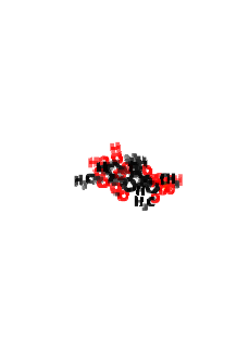 [2H]C1([2H])OC(=O)[C@@]2([2H])[C@H]1[C@H](O[C@@H]1O[C@@H]3CO[C@@H](C)O[C@H]3[C@H](O)[C@H]1O)c1cc3c(cc1[C@@]2([2H])c1cc(OC)c(OP(=O)(O)O)c(OC)c1)OCO3